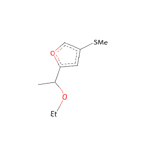 CCOC(C)c1cc(SC)co1